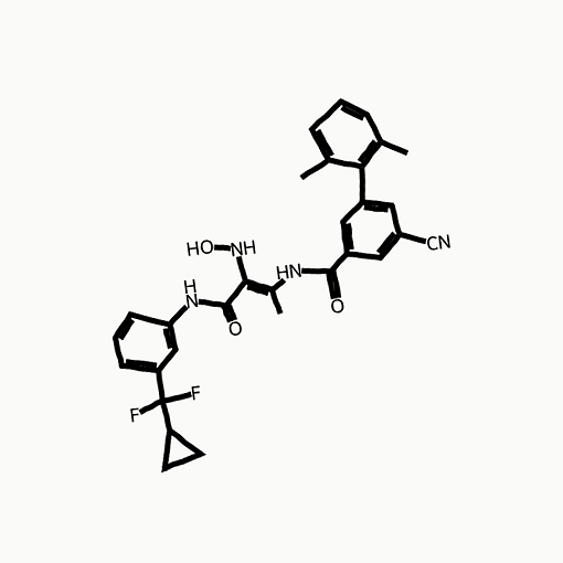 C/C(NC(=O)c1cc(C#N)cc(-c2c(C)cccc2C)c1)=C(/NO)C(=O)Nc1cccc(C(F)(F)C2CC2)c1